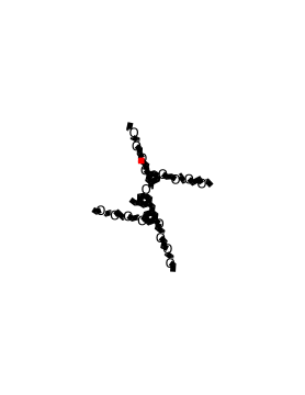 CCOCCOCCOCCOc1cc(COc2cc(CC)cc(Cc3cc(OCCOCCOCCOCC)cc(OCCOCCOCCOCC)c3)c2)cc(OCCOCCOCCOCC)c1